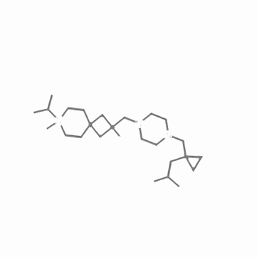 CC(C)CC1(CN2CCN(CC3(F)CC4(CC[N+](C)(C(C)C)CC4)C3)CC2)CC1